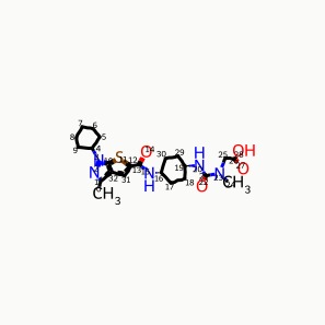 Cc1nn(C2CCCCC2)c2sc(C(=O)N[C@H]3CC[C@H](NC(=O)N(C)CC(=O)O)CC3)cc12